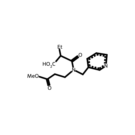 CCC(C(=O)O)C(=O)N(CCC(=O)OC)Cc1cccnc1